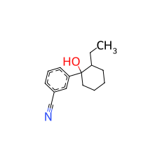 CCC1CCCCC1(O)c1cccc(C#N)c1